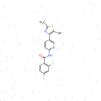 Cc1nc(-c2ccc(NC(=O)c3ccc(F)cc3F)nc2)c(C(C)C)s1